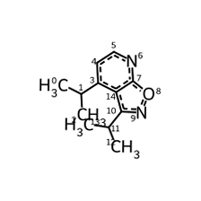 CC(C)c1ccnc2onc(C(C)C)c12